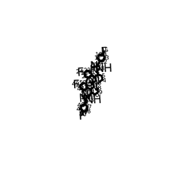 O=C(N1CCCC(c2nnc(-c3ccc(F)cc3)[nH]2)C1c1ccc(F)cc1)N1CCCC(c2nnc(-c3ccc(F)cc3)[nH]2)C1c1ccc(F)cc1